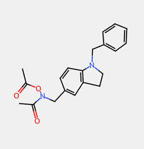 CC(=O)ON(Cc1ccc2c(c1)CCN2Cc1ccccc1)C(C)=O